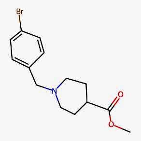 COC(=O)C1CCN(Cc2ccc(Br)cc2)CC1